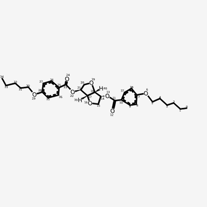 CCCCCCOc1ccc(C(=O)O[C@@H]2CO[C@H]3[C@@H]2OC[C@@H]3OC(=O)c2ccc(OCCCCC)cc2)cc1